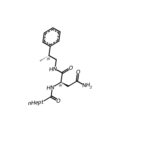 CCCCCCCC(=O)N[C@H](CC(N)=O)C(=O)NC[C@H](C)c1ccccc1